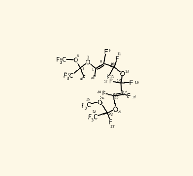 FC(OC(F)(OC(F)(F)F)C(F)(F)F)=C(F)C(F)(F)OC(F)(F)C(F)=C(F)OC(F)(OC(F)(F)F)C(F)(F)F